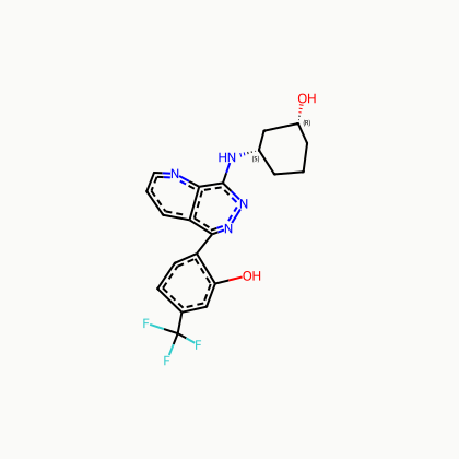 Oc1cc(C(F)(F)F)ccc1-c1nnc(N[C@H]2CCC[C@@H](O)C2)c2ncccc12